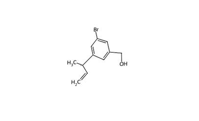 C=C[C](C)c1cc(Br)cc(CO)c1